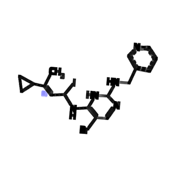 C/C(=C\C(I)NC1=C(Br)C=NC(NCc2cccnc2)N1)C1CC1